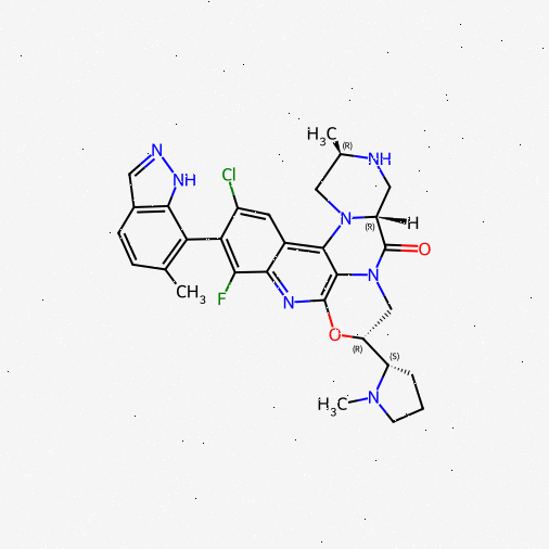 Cc1ccc2cn[nH]c2c1-c1c(Cl)cc2c3c4c(nc2c1F)O[C@@H]([C@@H]1CCCN1C)CN4C(=O)[C@H]1CN[C@H](C)CN31